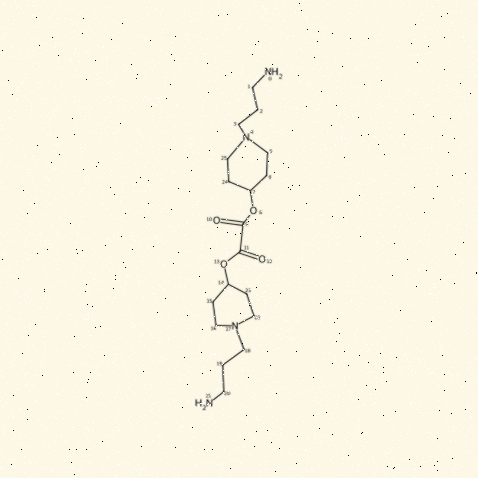 NCCCN1CCC(OC(=O)C(=O)OC2CCN(CCCN)CC2)CC1